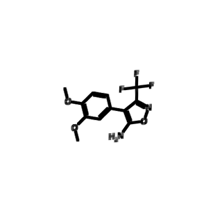 COc1ccc(-c2c(C(F)(F)F)noc2N)cc1OC